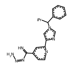 CC(C)C(c1ccccc1)n1cnc(-c2cc(C(=N)/N=N\N)ccn2)c1